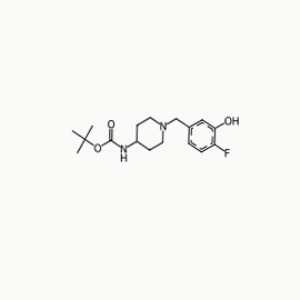 CC(C)(C)OC(=O)NC1CCN(Cc2ccc(F)c(O)c2)CC1